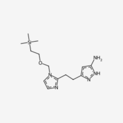 C[Si](C)(C)CCOCn1ccnc1CCc1cc(N)[nH]n1